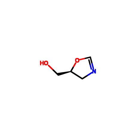 OC[C@@H]1CN=CO1